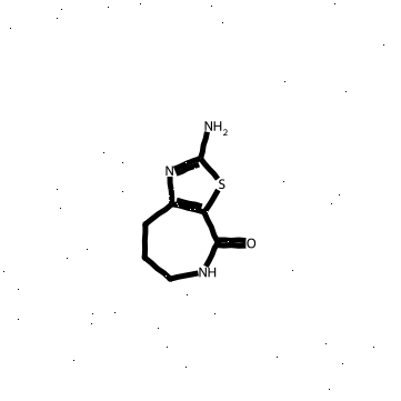 Nc1nc2c(s1)C(=O)NCCC2